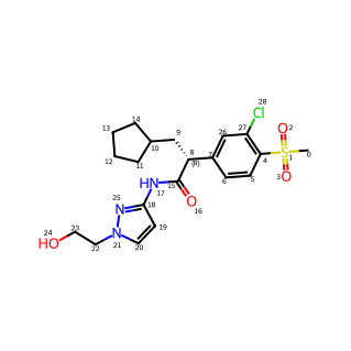 CS(=O)(=O)c1ccc([C@@H](CC2CCCC2)C(=O)Nc2ccn(CCO)n2)cc1Cl